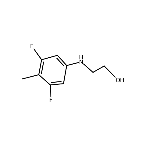 Cc1c(F)cc(NCCO)cc1F